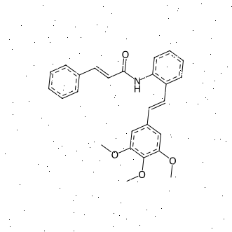 COc1cc(C=Cc2ccccc2NC(=O)C=Cc2ccccc2)cc(OC)c1OC